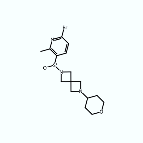 Cc1nc(Br)ccc1[S+]([O-])N1CC2(CN(C3CCOCC3)C2)C1